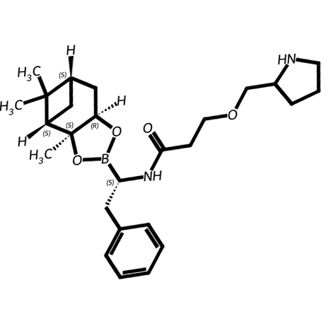 CC1(C)[C@@H]2C[C@H]3OB([C@@H](Cc4ccccc4)NC(=O)CCOCC4CCCN4)O[C@@]3(C)[C@H]1C2